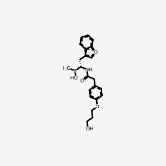 O=C(Cc1ccc(OCCCO)cc1)N[C@@H](Cc1coc2ccccc12)B(O)O